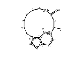 CC1CC(=O)NCCCCCCn2ccc3ccc1nc32